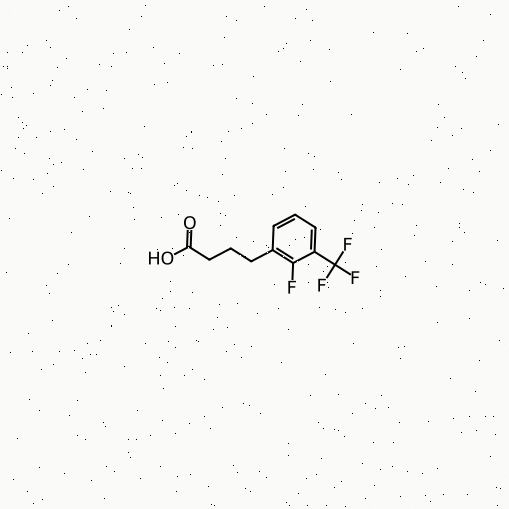 O=C(O)CCCc1cccc(C(F)(F)F)c1F